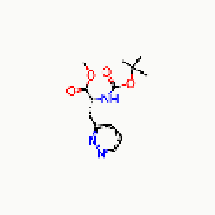 COC(=O)[C@@H](Cc1cccnn1)NC(=O)OC(C)(C)C